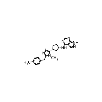 Cc1ccc(Cc2nnc([C@@H]3CC[C@H](Nc4ncnc5[nH]ncc45)C3)n2C)cc1